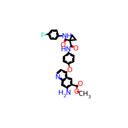 COC(=O)c1cc2c(Oc3ccc(NC(=O)C4(C(=O)Nc5ccc(F)cc5)CC4)cc3)ccnc2cc1N